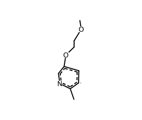 COCCOc1c[c]c(C)nc1